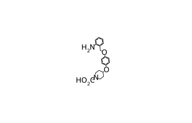 Nc1ccccc1COc1ccc(OC2CCN(C(=O)O)CC2)cc1